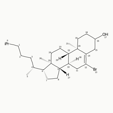 CC(C)CCC[C@@H](C)[C@H]1CC[C@H]2[C@@H]3CC(Br)=C4CC(O)CC[C@]4(C)[C@H]3CC[C@]12C